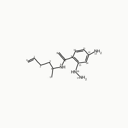 C=CCCC(C)NC(=C)c1ccc(N)cc1NN